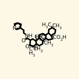 CC1(C)CC[C@]2(C(=O)O)CC[C@]3(C)C(=CCC4[C@@]5(C)CC(C(=O)NCCc6cccnc6)C(=O)C(C)(C)[C@@H]5CC[C@]43C)C2C1